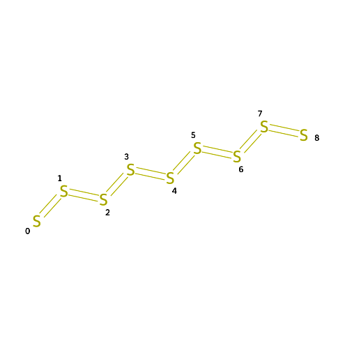 S=S=S=S=S=S=S=S=S